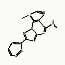 CNc1nc2cc(-c3ccccn3)nn2c2c1ncn2C